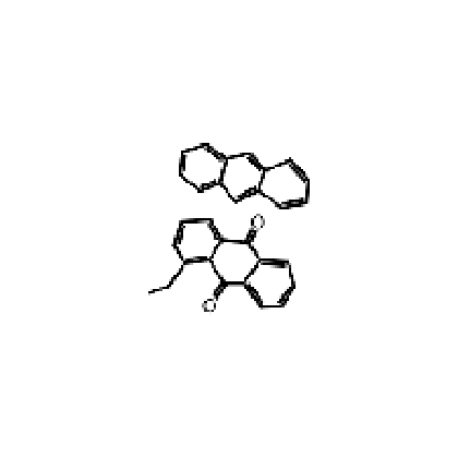 CCc1cccc2c1C(=O)c1ccccc1C2=O.c1ccc2cc3ccccc3cc2c1